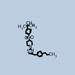 CCCc1ccc(Cc2csc(N3CCC(S(=O)(=O)c4ccc(C(C)(C)C)cc4)CC3)n2)cc1